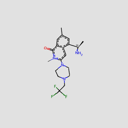 Cc1cc([C@@H](C)N)c2cc(N3CCN(CC(F)(F)F)CC3)n(C)c(=O)c2c1